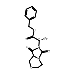 CC(C)[C@@H](C(=O)OCc1ccccc1)N1C(=O)C2COCCN2C1=O